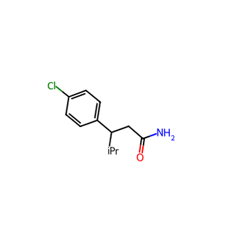 CC(C)C(CC(N)=O)c1ccc(Cl)cc1